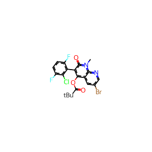 Cn1c(=O)c(-c2c(F)ccc(F)c2Cl)c(OC(=O)C(C)(C)C)c2cc(Br)cnc21